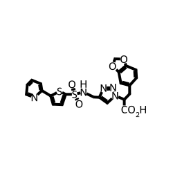 O=C(O)C(Cc1ccc2c(c1)OCO2)n1cc(CNS(=O)(=O)c2ccc(-c3ccccn3)s2)nn1